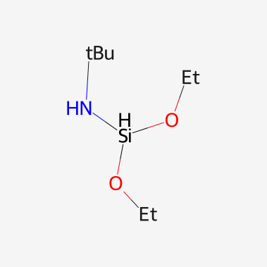 CCO[SiH](NC(C)(C)C)OCC